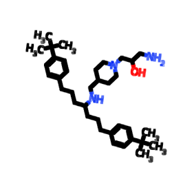 CC(C)(C)c1ccc(CCCC(CCCc2ccc(C(C)(C)C)cc2)NCC2CCN(CC(O)CN)CC2)cc1